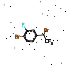 Fc1cc(C(Br)C(F)(F)F)ccc1Br